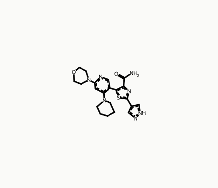 NC(=O)c1nc(-c2cn[nH]c2)sc1-c1cnc(N2CCOCC2)cc1N1CCCCC1